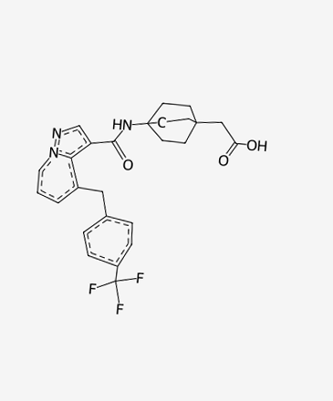 O=C(O)CC12CCC(NC(=O)c3cnn4cccc(Cc5ccc(C(F)(F)F)cc5)c34)(CC1)CC2